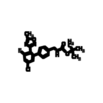 Cc1nc(-c2c(F)cc(Cl)cc2-c2ccc(CNC(=O)OC(C)(C)C)cc2)no1